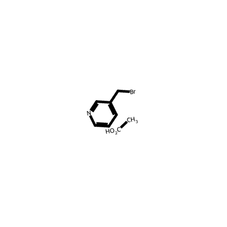 BrCc1cccnc1.CC(=O)O